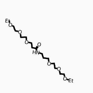 CCOCCOCCOCCCNC(=O)CCOCCOCCOCC